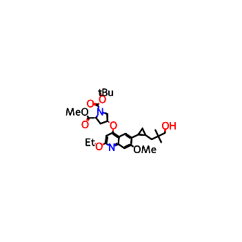 CCOc1cc(O[C@@H]2C[C@@H](C(=O)OC)N(C(=O)OC(C)(C)C)C2)c2cc(C3CC3CC(C)(C)CO)c(OC)cc2n1